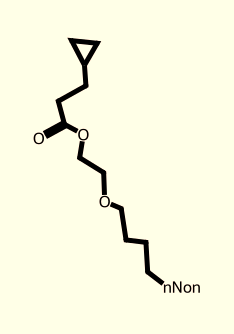 CCCCCCCCCCCCCOCCOC(=O)CCC1CC1